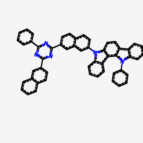 c1ccc(-c2nc(-c3ccc4ccccc4c3)nc(-c3ccc4ccc(-n5c6ccccc6c6c5ccc5c7ccccc7n(-c7ccccc7)c56)cc4c3)n2)cc1